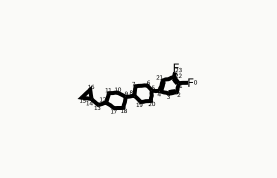 Fc1ccc(C2CCC(C3CCC(CC4CC4)CC3)CC2)cc1F